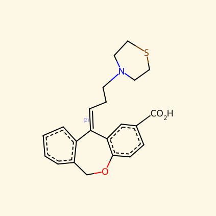 O=C(O)c1ccc2c(c1)/C(=C\CCN1CCSCC1)c1ccccc1CO2